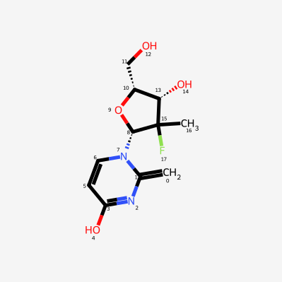 C=C1N=C(O)C=CN1[C@@H]1O[C@H](CO)[C@H](O)C1(C)F